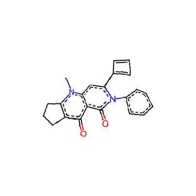 Cn1c2c(c(=O)c3c(=O)n(-c4ccccc4)c(C4=CC=C4)cc31)CCC2